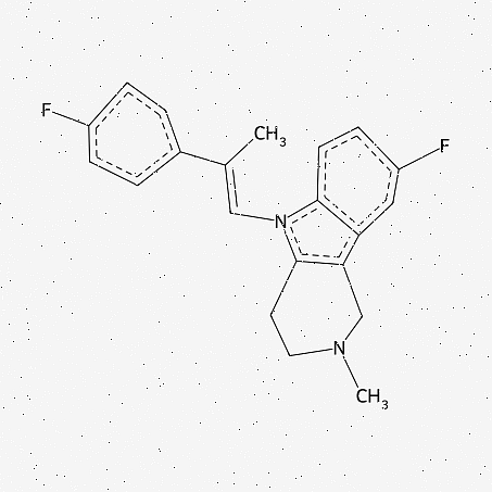 C/C(=C\n1c2c(c3cc(F)ccc31)CN(C)CC2)c1ccc(F)cc1